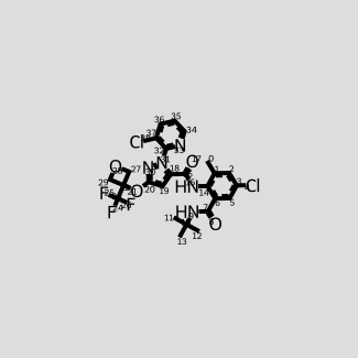 Cc1cc(Cl)cc(C(=O)NC(C)(C)C)c1NC(=O)c1cc(OC2(C(F)(F)F)COC2)nn1-c1ncccc1Cl